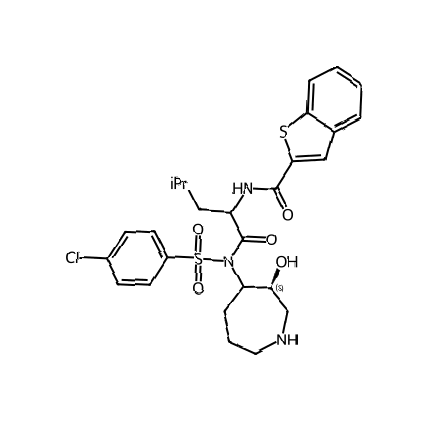 CC(C)CC(NC(=O)c1cc2ccccc2s1)C(=O)N(C1CCCNC[C@@H]1O)S(=O)(=O)c1ccc(Cl)cc1